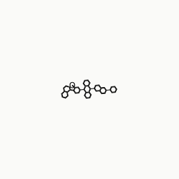 c1ccc(-c2ccc3cc(-c4c5ccccc5c(-c5ccc6c(c5)oc5ccc7ccccc7c56)c5ccccc45)ccc3c2)cc1